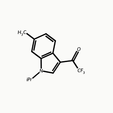 Cc1ccc2c(C(=O)C(F)(F)F)cn(C(C)C)c2c1